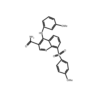 COc1ccc(S(=O)(=O)c2cccc3c(Nc4cccc(OC)c4)c(C(N)=O)cnc23)cc1